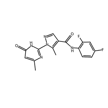 Cc1cc(=O)[nH]c(-n2ncc(C(=O)Nc3ccc(F)cc3F)c2C)n1